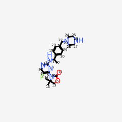 CC(Nc1ncc(F)c(N2C(=O)OCC2(C)C)n1)c1ccc(CN2CCNCC2)cc1